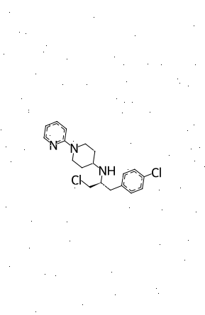 ClC[C@H](Cc1ccc(Cl)cc1)NC1CCN(c2ccccn2)CC1